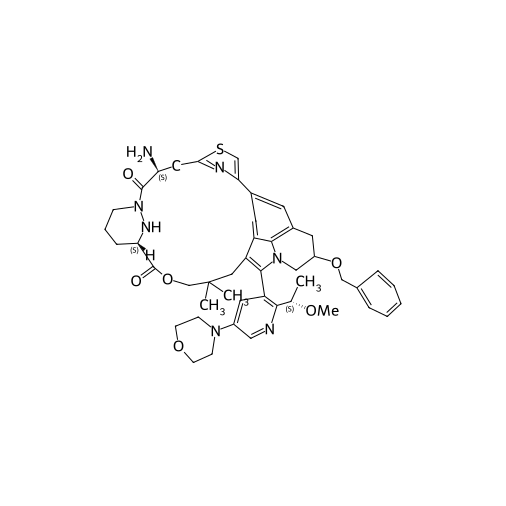 CO[C@@H](C)c1ncc(N2CCOCC2)cc1-c1c2c3cc(cc4c3n1CC(OCc1ccccc1)C4)-c1csc(n1)C[C@H](N)C(=O)N1CCC[C@H](N1)C(=O)OCC(C)(C)C2